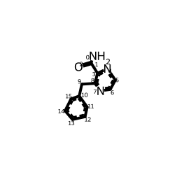 NC(=O)c1nccnc1Cc1ccccc1